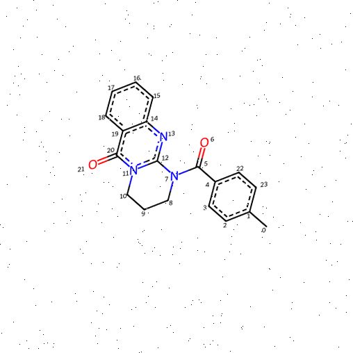 Cc1ccc(C(=O)N2CCCn3c2nc2ccccc2c3=O)cc1